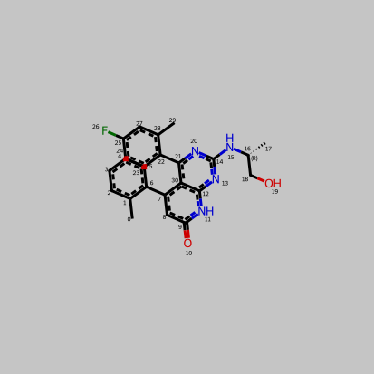 Cc1ccccc1-c1cc(=O)[nH]c2nc(N[C@H](C)CO)nc(-c3ccc(F)cc3C)c12